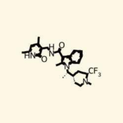 Cc1cc(C)c(CNC(=O)c2c(C)n([C@@H](C)[C@H]3CCN(C)[C@@H](C(F)(F)F)C3)c3ccccc23)c(=O)[nH]1